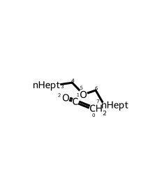 C=C=O.CCCCCCCCOCCCCCCCC